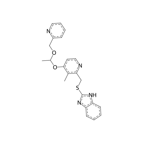 Cc1c(OC(C)OCc2ccccn2)ccnc1CSc1nc2ccccc2[nH]1